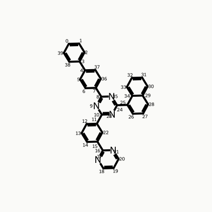 c1ccc(-c2ccc(-c3nc(-c4cccc(-c5ncccn5)c4)nc(-c4cccc5ccccc45)n3)cc2)cc1